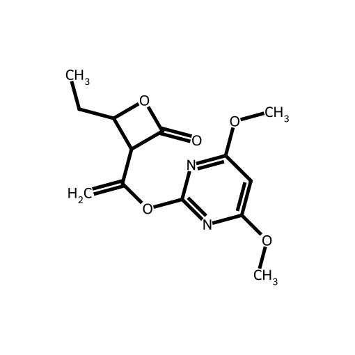 C=C(Oc1nc(OC)cc(OC)n1)C1C(=O)OC1CC